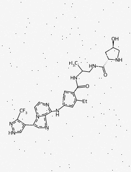 CCc1cc(Nc2nccn3c(-c4c[nH]nc4C(F)(F)F)cnc23)ccc1C(=O)NC(C)CNC(=O)[C@@H]1C[C@@H](O)CN1